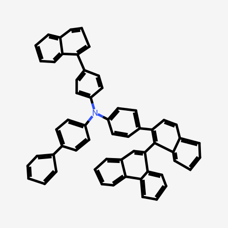 c1ccc(-c2ccc(N(c3ccc(-c4ccc5ccccc5c4-c4cc5ccccc5c5ccccc45)cc3)c3ccc(-c4cccc5ccccc45)cc3)cc2)cc1